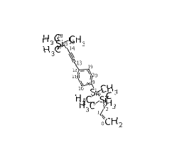 C=CC[Si](C)(C)[Si](C)(C)c1ccc(C#C[Si](C)(C)C)cc1